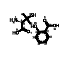 CC(C)(S)[C@@H](N)C(=O)O.O=C(O)c1ccccc1O